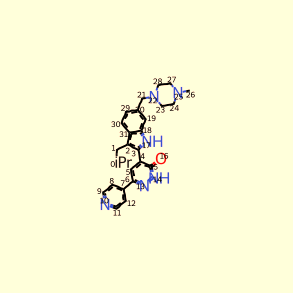 CC(C)Cc1c(-c2cc(-c3ccncc3)n[nH]c2=O)[nH]c2cc(CN3CCN(C)CC3)ccc12